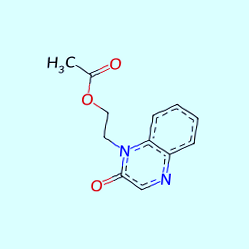 CC(=O)OCCn1c(=O)cnc2ccccc21